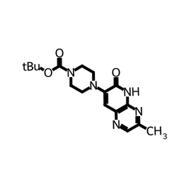 Cc1cnc2cc(N3CCN(C(=O)OC(C)(C)C)CC3)c(=O)[nH]c2n1